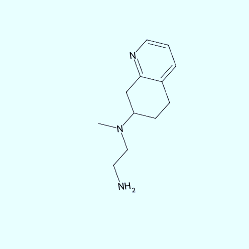 CN(CCN)C1CCc2cccnc2C1